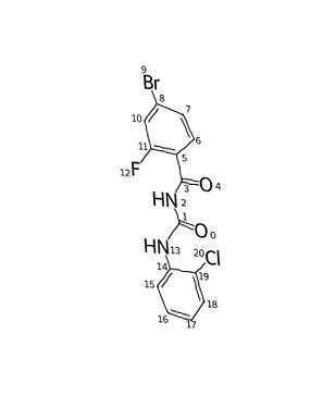 O=C(NC(=O)c1ccc(Br)cc1F)Nc1ccccc1Cl